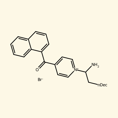 CCCCCCCCCCCC(N)[n+]1ccc(C(=O)c2cccc3ccccc23)cc1.[Br-]